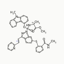 CNC(=O)c1ccccc1Sc1ccc2c(/C=C/c3ccccn3)nn(P(=O)(N[C@@H](C)C(=O)OC)Oc3cccc4c3c3ccccc3n4C)c2c1